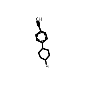 C#Cc1ccc(C2CCC(CC)CC2)cc1